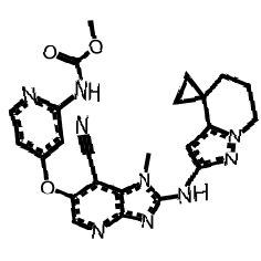 COC(=O)Nc1cc(Oc2cnc3nc(Nc4cc5n(n4)CCCC54CC4)n(C)c3c2C#N)ccn1